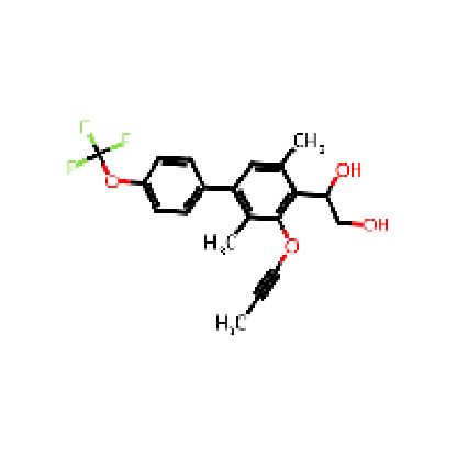 CC#COc1c(C)c(-c2ccc(OC(F)(F)F)cc2)cc(C)c1C(O)CO